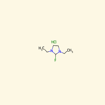 CCN1CCN(CC)C1F.Cl